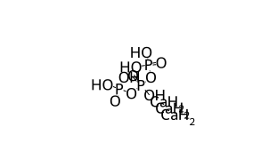 O=P(O)(O)OP(=O)(O)OP(=O)(O)O.[CaH2].[CaH2].[CaH2]